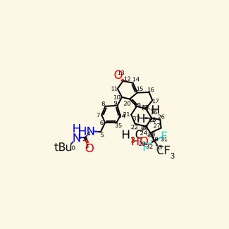 CC(C)(C)NC(=O)NCc1ccc(C2CC(=O)C=C3CC[C@@H]4C(=C32)CC[C@@]2(C)[C@H]4CC[C@@]2(O)C(F)(F)C(F)(F)F)cc1